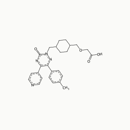 Cc1ccc(-c2nn(CC3CCC(COCC(=O)O)CC3)c(=O)nc2-c2ccncc2)cc1